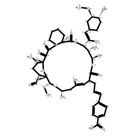 CO[C@H]1C[C@@H](C)C/C(C)=C/C(C/C=C/c2ccc(C(=O)O)cc2)C(=O)C[C@H](O)[C@@H](C)[C@@H](/C(C)=C/[C@@H]2CC[C@@H](O)[C@H](OC)C2)OC(=O)[C@@H]2CCCCN2C(=O)C(=O)[C@]2(O)O[C@H]1[C@@H](C=O)C[C@H]2C